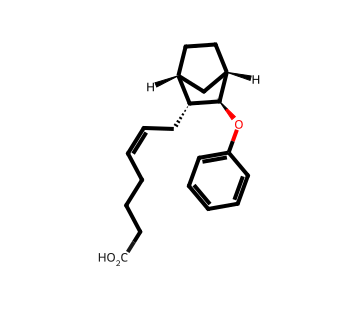 O=C(O)CCC/C=C\C[C@@H]1[C@@H]2CC[C@@H](C2)[C@H]1Oc1ccccc1